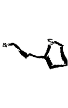 Br/C=C/c1cccs1